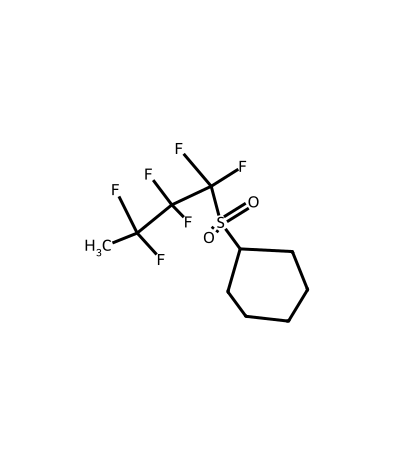 CC(F)(F)C(F)(F)C(F)(F)S(=O)(=O)C1CCCCC1